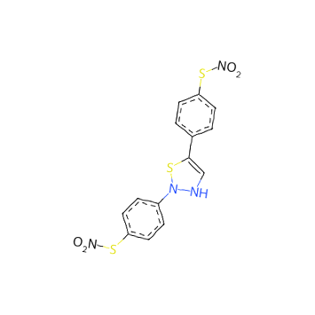 O=[N+]([O-])Sc1ccc(C2=CNN(c3ccc(S[N+](=O)[O-])cc3)S2)cc1